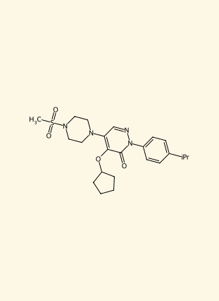 CC(C)c1ccc(-n2ncc(N3CCN(S(C)(=O)=O)CC3)c(OC3CCCC3)c2=O)cc1